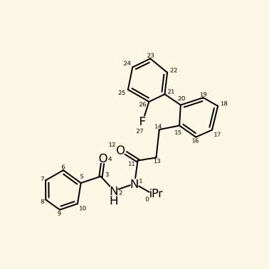 CC(C)N(NC(=O)c1ccccc1)C(=O)CCc1ccccc1-c1ccccc1F